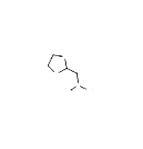 C[S+]([O-])CC1OCCO1